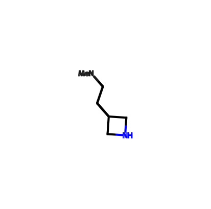 CNCCC1CNC1